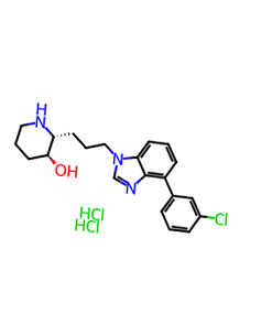 Cl.Cl.O[C@H]1CCCN[C@@H]1CCCn1cnc2c(-c3cccc(Cl)c3)cccc21